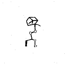 C=CC(OCC)OOC1(C)CCC2CC1C2(C)C